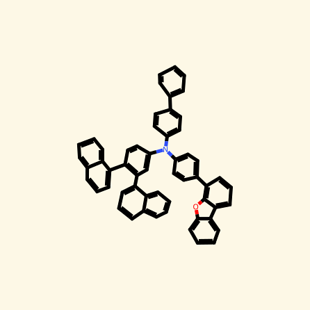 c1ccc(-c2ccc(N(c3ccc(-c4cccc5c4oc4ccccc45)cc3)c3ccc(-c4cccc5ccccc45)c(-c4cccc5ccccc45)c3)cc2)cc1